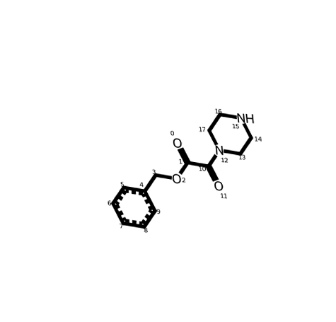 O=C(OCc1ccccc1)C(=O)N1CCNCC1